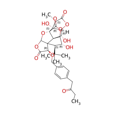 CCC(=O)Cc1ccc(CO[C@H]2C(=O)OC3O[C@@]45C(=O)OC6[C@H](O)[C@@H](C(C)(C)C)C32C64[C@@H](O)[C@@H]2OC(=O)[C@@H](C)[C@@]25O)cc1